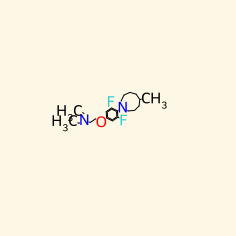 CCN(CC)CCOc1cc(F)c(N2CCCCC(C)CCC2)c(F)c1